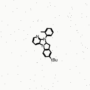 Cc1ccccc1N1c2ncccc2N2c3ccc(C(C)(C)C)cc3CC21